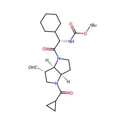 CC(C)(C)OC(=O)N[C@H](C(=O)N1CC[C@@H]2[C@H]1[C@@H](C=O)CN2C(=O)C1CC1)C1CCCCC1